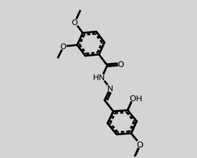 COc1ccc(C=NNC(=O)c2ccc(OC)c(OC)c2)c(O)c1